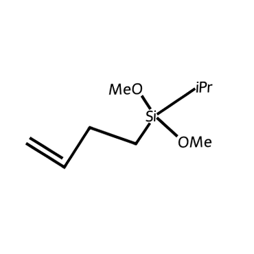 C=CCC[Si](OC)(OC)C(C)C